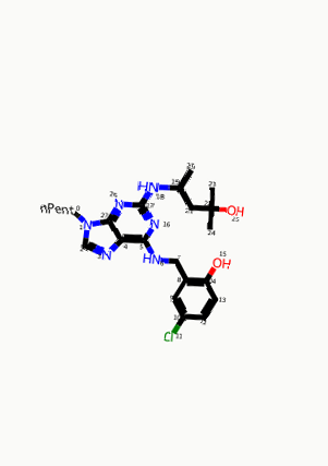 CCCCCn1cnc2c(NCc3cc(Cl)ccc3O)nc(NC(C)CC(C)(C)O)nc21